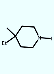 CCC1(C)CCN(I)CC1